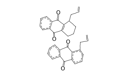 C=CCC1CCCC2=C1C(=O)c1ccccc1C2=O.C=CCc1cccc2c1C(=O)c1ccccc1C2=O